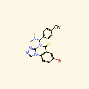 CN(C)C(c1ccc(C#N)cc1)n1c(=S)c2cc(Br)ccc2n2cnnc12